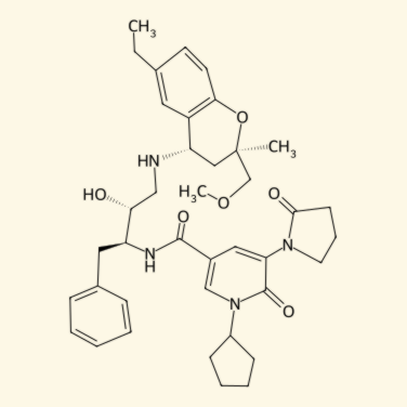 CCc1ccc2c(c1)[C@@H](NC[C@@H](O)[C@H](Cc1ccccc1)NC(=O)c1cc(N3CCCC3=O)c(=O)n(C3CCCC3)c1)C[C@](C)(COC)O2